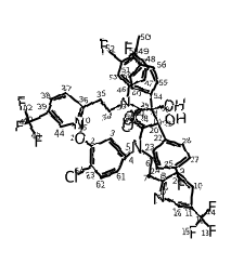 COc1cc(N(CCc2ccc(C(F)(F)F)cn2)C(=O)[C@](O)(c2ccc(F)cc2)[C@](O)(C(=O)N(CCc2ccc(C(F)(F)F)cn2)c2ccc(C)c(F)c2)c2ccc(F)cc2)ccc1Cl